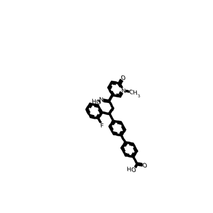 Cn1cc(/C(CC(c2ccc(-c3ccc(C(=O)O)cc3)cc2)c2ccccc2F)=N/O)ccc1=O